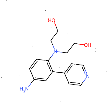 Nc1ccc(N(CCO)CCO)c(-c2ccncc2)c1